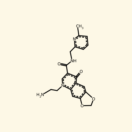 Cc1cccc(CNC(=O)c2cn(CCN)c3cc4c(cc3c2=O)OCO4)n1